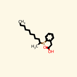 CCCCCCCCCC(C)Sc1ccccc1CC(=O)O